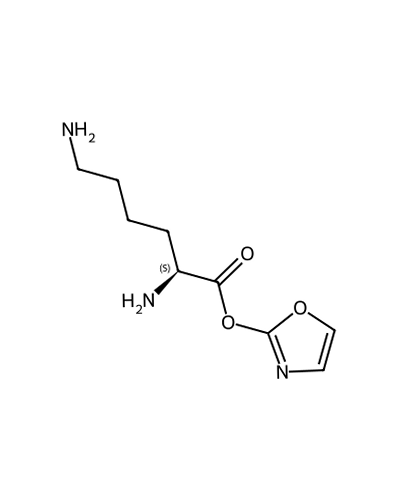 NCCCC[C@H](N)C(=O)Oc1ncco1